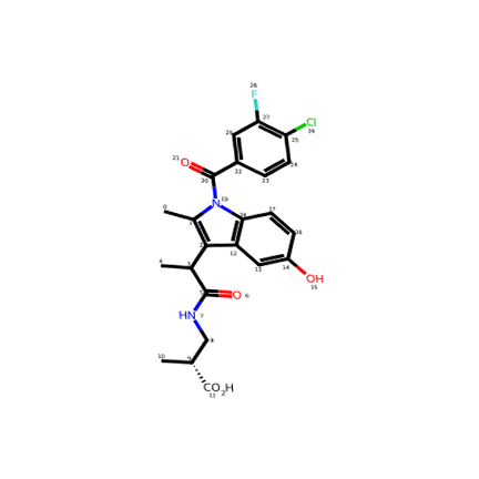 Cc1c(C(C)C(=O)NC[C@@H](C)C(=O)O)c2cc(O)ccc2n1C(=O)c1ccc(Cl)c(F)c1